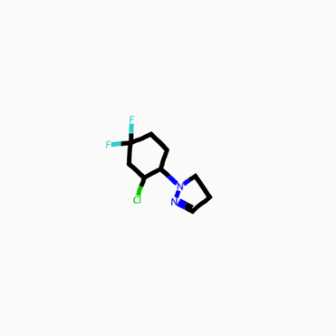 FC1(F)CCC(N2CCC=N2)C(Cl)C1